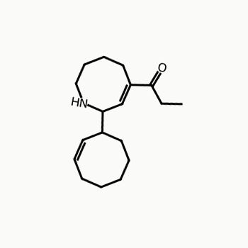 CCC(=O)/C1=C/C(C2/C=C\CCCCC2)NCCCC1